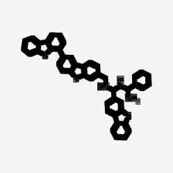 NC(NC(NCc1ccc2c(c1)sc1ccc(-c3cccc4c3sc3ccccc34)cc12)c1ccc2c(c1)sc1ccccc12)c1ccccc1